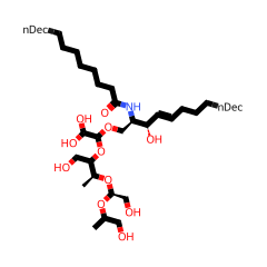 CCCCCCCCCCCCC/C=C/[C@H](O)[C@@H](COC(OC(CO)[C@H](C)O[C@@H](CO)OC(C)CO)C(O)O)NC(=O)CCCCCCCCCCCCCCCCC